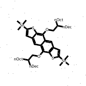 CCCCCCCCCCC(CCCCCCCC)COc1c2cc3c[c]([Sn]([CH3])([CH3])[CH3])sc3c(OCC(CCCCCCCC)CCCCCCCCCC)c2cc2c[c]([Sn]([CH3])([CH3])[CH3])sc12